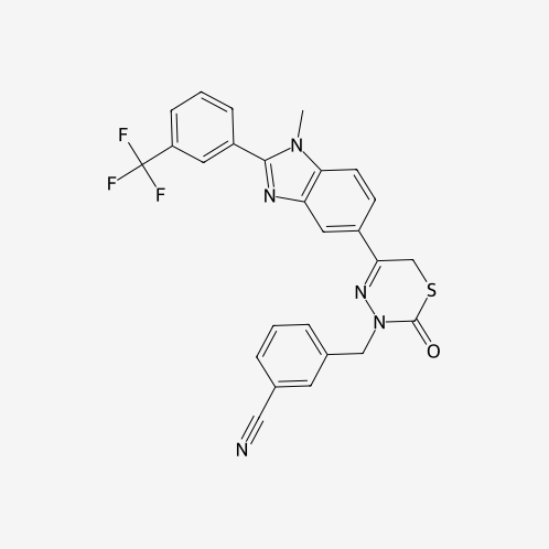 Cn1c(-c2cccc(C(F)(F)F)c2)nc2cc(C3=NN(Cc4cccc(C#N)c4)C(=O)SC3)ccc21